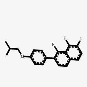 CC(C)COc1ccc(-c2ccc3ccc(F)c(F)c3c2F)cc1